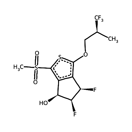 C[C@@H](COc1sc(S(C)(=O)=O)c2c1[C@@H](F)[C@@H](F)[C@H]2O)C(F)(F)F